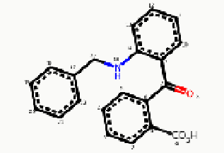 O=C(O)c1ccccc1C(=O)c1ccccc1NCc1ccccc1